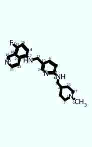 CN1CCC(CNc2ccc(CNc3ccc(F)c4cnccc34)cn2)CC1